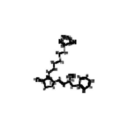 O=C1CC[C@H](C=C[C@@H](O)Cc2ccccc2)N1CCCCCCc1nnn[nH]1